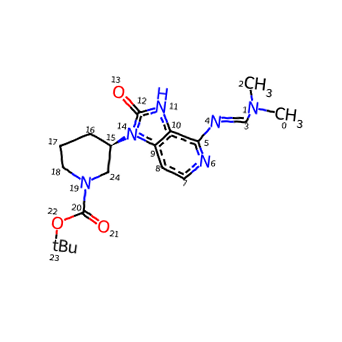 CN(C)/C=N/c1nccc2c1[nH]c(=O)n2[C@@H]1CCCN(C(=O)OC(C)(C)C)C1